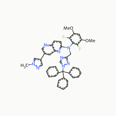 COc1cc(OC)c(F)c(N(Cc2ncn(C(c3ccccc3)(c3ccccc3)c3ccccc3)n2)c2ccc3ncc(-c4cnn(C)c4)cc3n2)c1F